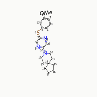 COc1cccc(Sc2cnc(N3CCC4(CCCC4)CC3)cn2)c1